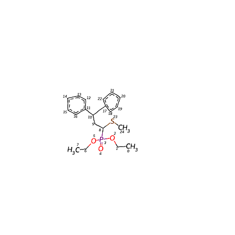 CCOP(=O)(OCC)C(CC(c1ccccc1)c1ccccc1)SC